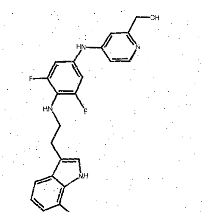 CCc1cccc2c(CCNc3c(F)cc(Nc4ccnc(CO)c4)cc3F)c[nH]c12